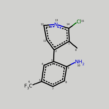 Cc1c(-c2cc(C(F)(F)F)ccc2N)ccnc1Cl